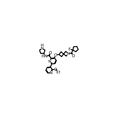 CCOc1ncccc1-c1ccc(OC2CC3(C2)CN(C(=O)C2(F)CCCC2)C3)c(C(=O)N[C@@H]2CCNC2)n1